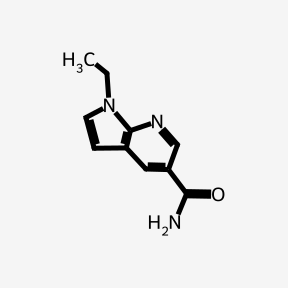 CCn1ccc2cc(C(N)=O)cnc21